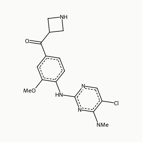 CNc1nc(Nc2ccc(C(=O)C3CNC3)cc2OC)ncc1Cl